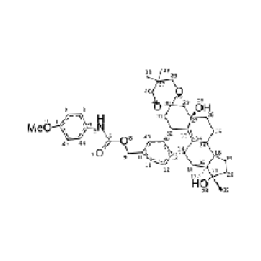 COc1ccc(NC(=O)OCc2ccc([C@H]3C[C@@]4(C)C(CC[C@]4(C)O)C4CC[C@@]5(O)CC6(CCC5=C43)OCC(C)(C)CO6)cc2)cc1